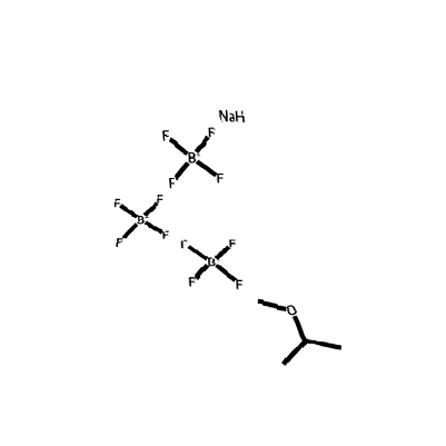 COC(C)C.F[B-](F)(F)F.F[B-](F)(F)F.F[B-](F)(F)F.[NaH]